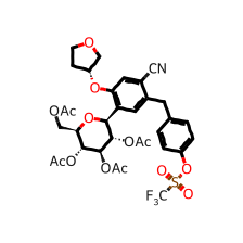 CC(=O)OC[C@H]1O[C@@H](c2cc(Cc3ccc(OS(=O)(=O)C(F)(F)F)cc3)c(C#N)cc2O[C@@H]2CCOC2)[C@H](OC(C)=O)[C@@H](OC(C)=O)[C@@H]1OC(C)=O